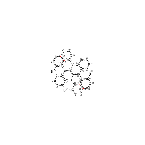 Brc1ccccc1-c1c2ccccc2c(-c2ccccc2Br)c2c(-c3ccccc3Br)c3ccccc3c(-c3ccccc3Br)c12